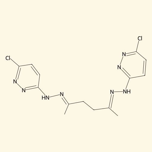 C/C(CC/C(C)=N/Nc1ccc(Cl)nn1)=N\Nc1ccc(Cl)nn1